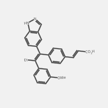 CC/C(=C(/c1ccc(/C=C/C(=O)O)cc1)c1ccc2[nH]ncc2c1)c1cccc(OC)c1